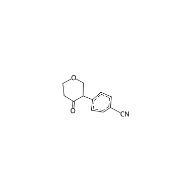 N#Cc1ccc(C2COCCC2=O)cc1